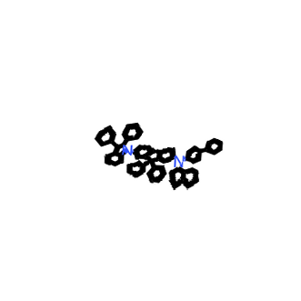 c1ccc(-c2ccc(N(c3ccc4c(c3)C(c3ccccc3)(c3ccccc3)c3cc(-n5c(-c6ccccc6)c(-c6ccccc6)c6ccccc65)ccc3-4)c3cccc4ccccc34)cc2)cc1